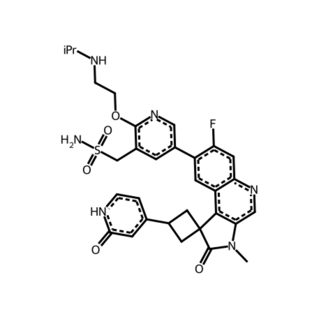 CC(C)NCCOc1ncc(-c2cc3c4c(cnc3cc2F)N(C)C(=O)C42CC(c3cc[nH]c(=O)c3)C2)cc1CS(N)(=O)=O